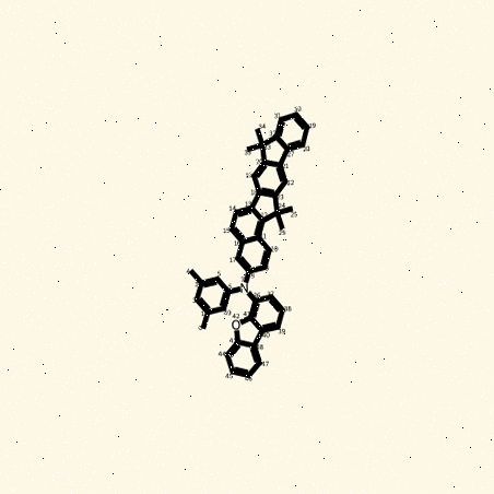 Cc1cc(C)cc(N(c2ccc3c4c(ccc3c2)-c2cc3c(cc2C4(C)C)-c2ccccc2C3(C)C)c2cccc3c2oc2ccccc23)c1